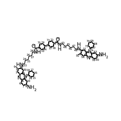 Cc1cc2nc3ccc(N)cc3[n+](-c3ccccc3)c2cc1NCCCCCCNC(=O)c1ccc(-c2ccc(C(=O)NCCCCCCNc3cc4c(cc3C)nc3ccc(N)cc3[n+]4-c3ccccc3)cc2)cc1